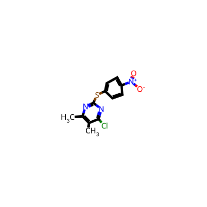 Cc1nc(Sc2ccc([N+](=O)[O-])cc2)nc(Cl)c1C